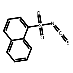 O=S(=O)(N=C=S)c1cccc2ccccc12